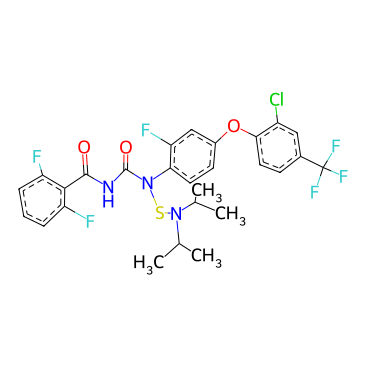 CC(C)N(SN(C(=O)NC(=O)c1c(F)cccc1F)c1ccc(Oc2ccc(C(F)(F)F)cc2Cl)cc1F)C(C)C